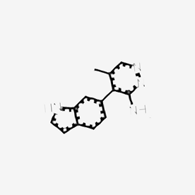 Cc1cnnc(N)c1-c1ccc2cc[nH]c2c1